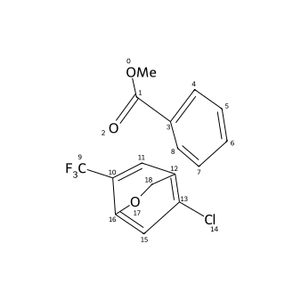 COC(=O)c1ccccc1.FC(F)(F)c1cc2c(Cl)cc1OC2